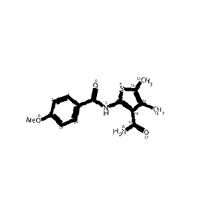 COc1ccc(C(=O)Nc2sc(C)c(C)c2C(N)=O)cc1